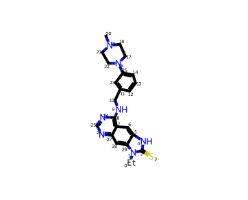 CCn1c(=S)[nH]c2cc3c(NCc4cccc(N5CCN(C)CC5)c4)ncnc3cc21